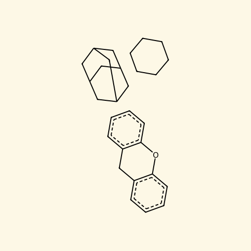 C1C2CC3CC1CC(C2)C3.C1CCCCC1.c1ccc2c(c1)Cc1ccccc1O2